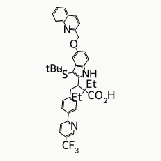 CCC(CC)(C(=O)O)C(Cc1ccc(-c2ccc(C(F)(F)F)cn2)cc1)c1[nH]c2ccc(OCc3ccc4ccccc4n3)cc2c1SC(C)(C)C